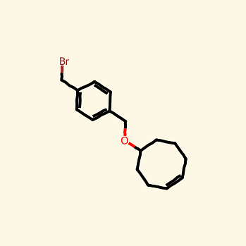 BrCc1ccc(COC2CC/C=C\CCC2)cc1